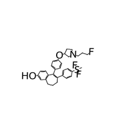 CS(F)(F)c1ccc(C2=C(c3ccc(O[C@H]4CCN(CCCF)C4)cc3)c3ccc(O)cc3CCC2)cc1